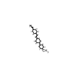 CC1CCC(C2CCC(C=CC3CCC(C#N)CC3)CC2)CC1